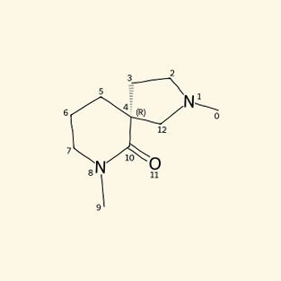 CN1CC[C@]2(CCCN(C)C2=O)C1